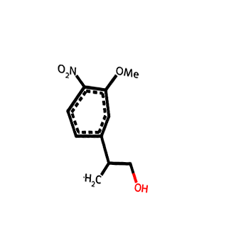 [CH2]C(CO)c1ccc([N+](=O)[O-])c(OC)c1